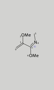 C=C(OC)/C(=N\C)OC